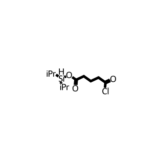 CC(C)[SiH](OC(=O)CCCC(=O)Cl)C(C)C